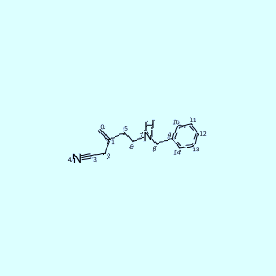 C=C(CC#N)CCNCc1ccccc1